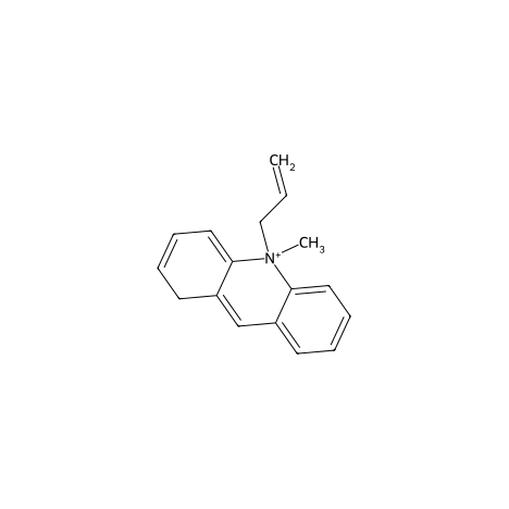 C=CC[N+]1(C)C2=CC=CCC2=Cc2ccccc21